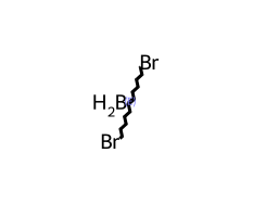 B/C(=C\CCCCCBr)CCCCCBr